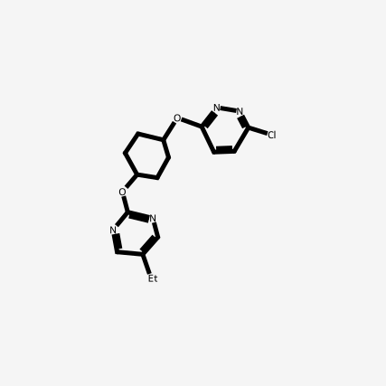 CCc1cnc(OC2CCC(Oc3ccc(Cl)nn3)CC2)nc1